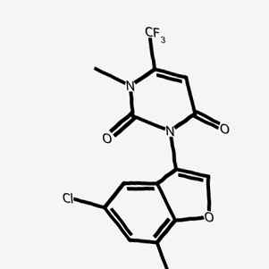 Cn1c(C(F)(F)F)cc(=O)n(-c2coc3c(Cl)cc(Cl)cc23)c1=O